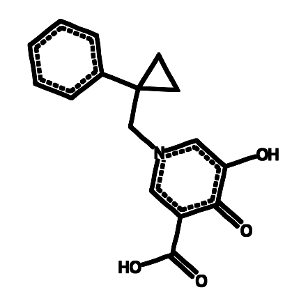 O=C(O)c1cn(CC2(c3ccccc3)CC2)cc(O)c1=O